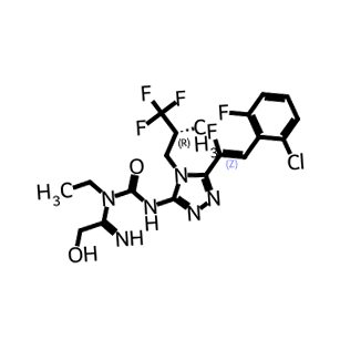 CCN(C(=N)CO)C(=O)Nc1nnc(/C(F)=C/c2c(F)cccc2Cl)n1C[C@@H](C)C(F)(F)F